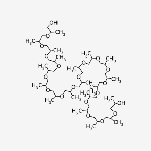 CC(O)COC(C)COC(C)COC(C)COC(C)COC(C)COC(C)COC(C)COC(C)COC(C)COC(C)COC(C)COC(C)COC(C)COC(C)COC(C)COC(C)COC(C)COC(C)CO